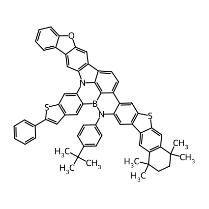 CC(C)(C)c1ccc(N2B3c4cc5cc(-c6ccccc6)sc5cc4-n4c5cc6c(cc5c5ccc(c3c54)-c3cc4sc5cc7c(cc5c4cc32)C(C)(C)CCC7(C)C)oc2ccccc26)cc1